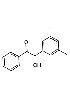 Cc1cc(C)cc(C(O)C(=O)c2ccccc2)c1